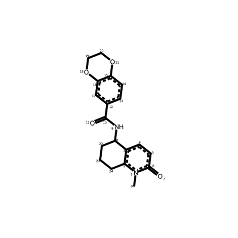 Cn1c2c(ccc1=O)C(NC(=O)c1ccc3c(c1)OCCO3)CCC2